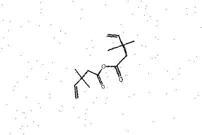 C=CC(C)(C)CC(=O)OC(=O)CC(C)(C)C=C